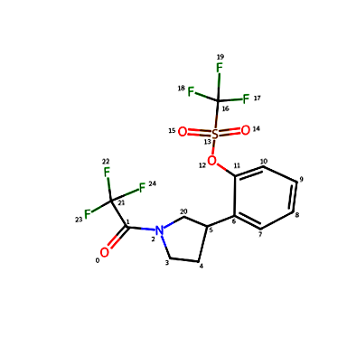 O=C(N1CCC(c2ccccc2OS(=O)(=O)C(F)(F)F)C1)C(F)(F)F